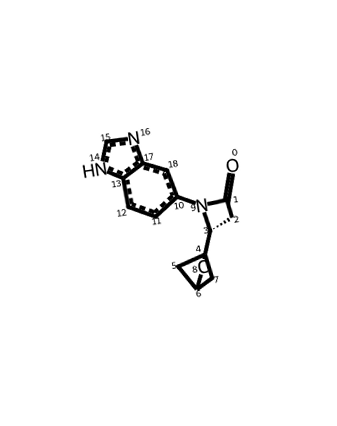 O=C1C[C@H](C23CC(C2)C3)N1c1ccc2[nH]cnc2c1